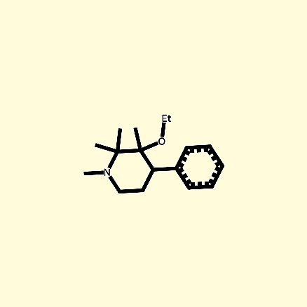 CCOC1(C)C(c2ccccc2)CCN(C)C1(C)C